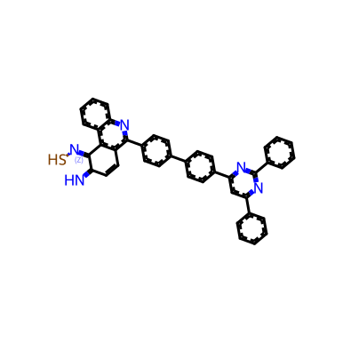 N=C1C=Cc2c(-c3ccc(-c4ccc(-c5cc(-c6ccccc6)nc(-c6ccccc6)n5)cc4)cc3)nc3ccccc3c2/C1=N/S